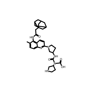 Cc1ccc2nc(N3CCC(NC(=O)N(C(=O)O)C4CCNC4)C3)ccc2c1NC(=O)CC12CC3CC(CC(C3)C1)C2